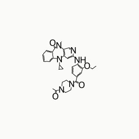 CCOc1cc(C(=O)N2CCN(C(C)=O)CC2)ccc1Nc1cc2c(cn1)N(C)C(=O)c1ccccc1N2C1CC1